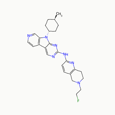 C[C@H]1CC[C@H](n2c3cnccc3c3cnc(Nc4ccc5c(n4)CCN(CCF)C5)nc32)CC1